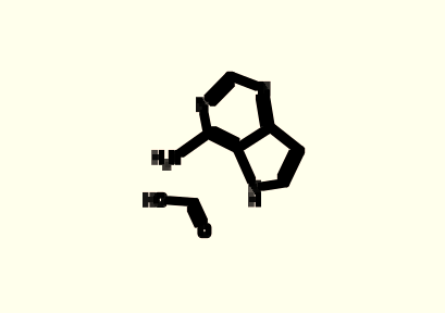 Nc1ncnc2cc[nH]c12.O=CO